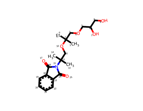 CCC(C)(COCC(O)CO)OCC(C)(C)N1C(=O)c2ccccc2C1=O